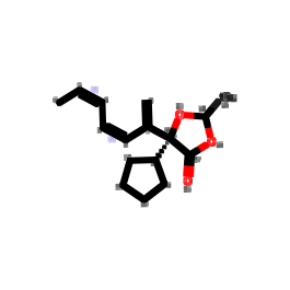 C=C(/C=C\C=C/C)[C@@]1(C2CCCC2)OC(C(C)(C)C)OC1=O